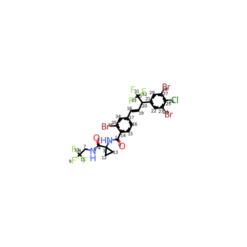 O=C(NC1(C(=O)NCC(F)(F)F)CC1)c1ccc(/C=C/C(c2cc(Br)c(Cl)c(Br)c2)C(F)(F)F)cc1Br